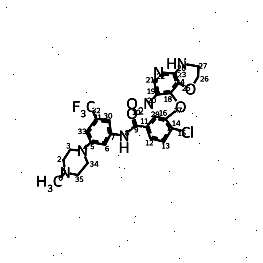 CN1CCN(c2cc(NC(=O)c3ccc(Cl)c(Oc4c([N+](=O)[O-])cnc5c4OCCN5)c3)cc(C(F)(F)F)c2)CC1